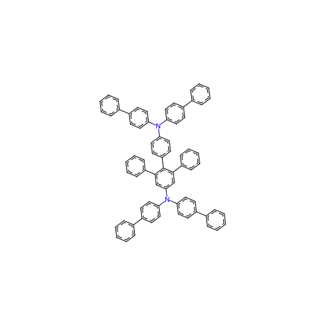 c1ccc(-c2ccc(N(c3ccc(-c4ccccc4)cc3)c3ccc(-c4c(-c5ccccc5)cc(N(c5ccc(-c6ccccc6)cc5)c5ccc(-c6ccccc6)cc5)cc4-c4ccccc4)cc3)cc2)cc1